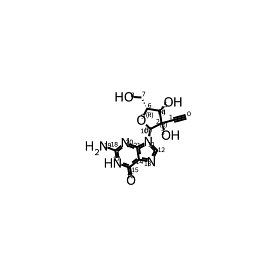 C#C[C@@]1(O)[C@H](O)[C@@H](CO)O[C@@H]1n1cnc2c(=O)[nH]c(N)nc21